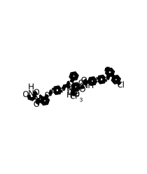 CC1(C)CCC(c2ccc(Cl)cc2)=C(CN2CCN(c3ccc(C(=O)NS(=O)(=O)c4ccc(NC(CCN5CCN(CCSc6cccc7c6CN(C6CCC(=O)NC6=O)C7=O)CC5)CSc5ccccc5)c(S(=O)(=O)C(F)(F)F)c4)cc3)CC2)C1